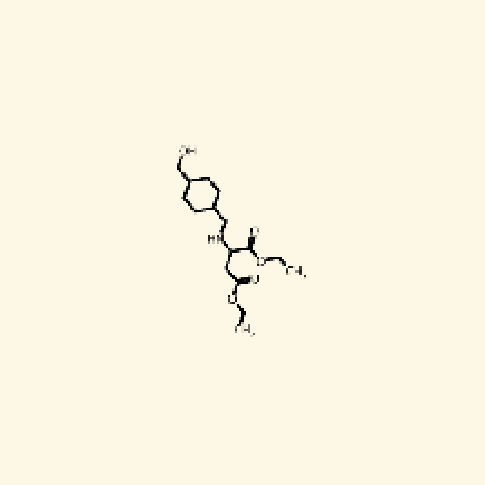 CCOC(=O)CC(NCC1CCC(CO)CC1)C(=O)OCC